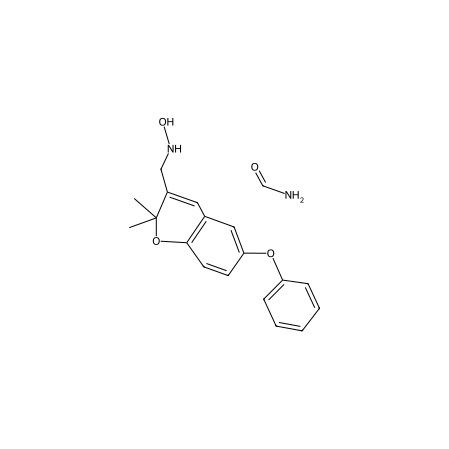 CC1(C)Oc2ccc(Oc3ccccc3)cc2C=C1CNO.NC=O